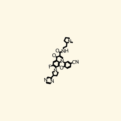 CN1CCCC1CCNC(=O)c1cn2c3c(c(N4CCC(c5cnccn5)C4)c(F)cc3c1=O)Oc1ccc(C#N)cc1-2